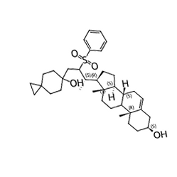 C[C@H](C(CC1(O)CCC2(CC1)CC2)S(=O)(=O)c1ccccc1)[C@H]1CC[C@H]2[C@@H]3CC=C4C[C@@H](O)CC[C@]4(C)C3CC[C@]12C